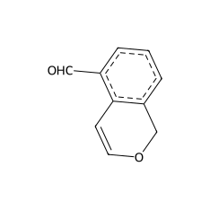 O=Cc1cccc2c1C=COC2